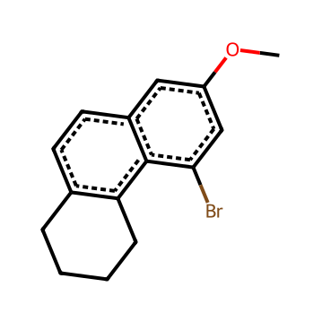 COc1cc(Br)c2c3c(ccc2c1)CCCC3